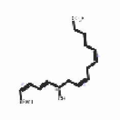 CCCCC/C=C\C=C\[C@H](O)C/C=C\C/C=C\CCCC(=O)O